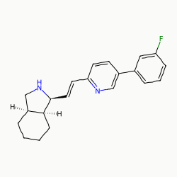 Fc1cccc(-c2ccc(/C=C/[C@@H]3NC[C@@H]4CCCC[C@@H]43)nc2)c1